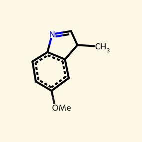 COc1ccc2c(c1)C(C)C=N2